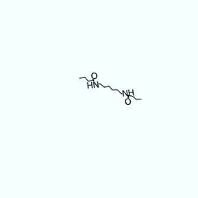 CCCC(=O)NCCCCCCNC(=O)CCC